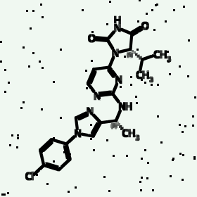 CC(C)[C@H]1C(=O)NC(=O)N1c1ccnc(N[C@H](C)c2cn(-c3ccc(Cl)cc3)cn2)n1